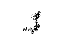 CN[S+]([O-])c1ccc(C(=O)CCCC[C@H](C)c2ccc(Cl)cc2Cl)s1